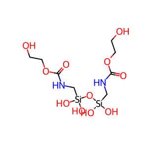 O=C(NC[Si](O)(O)O[Si](O)(O)CNC(=O)OCCO)OCCO